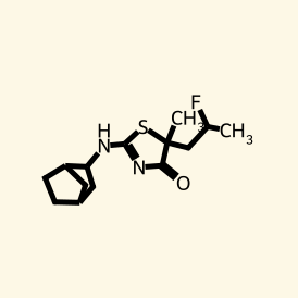 CC(F)CC1(C)SC(NC2CC3CCC2C3)=NC1=O